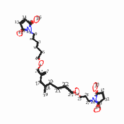 C=C(COCCCCCCN1C(=O)C=CC1=O)CC(C)CCCCOCCCN1C(=O)CCC1=O